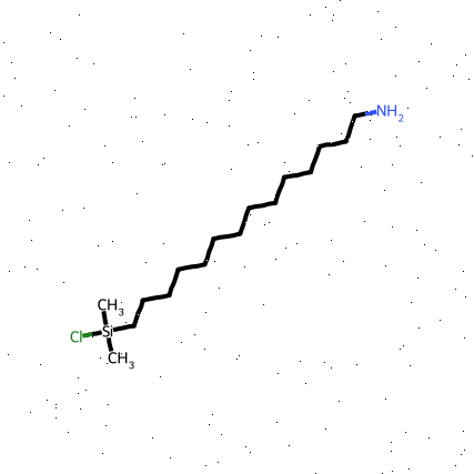 C[Si](C)(Cl)CCCCCCCCCCCCCCN